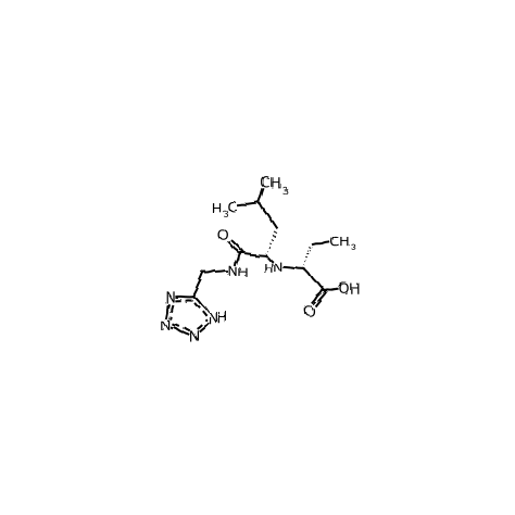 CC[C@@H](N[C@@H](CC(C)C)C(=O)NCc1nnn[nH]1)C(=O)O